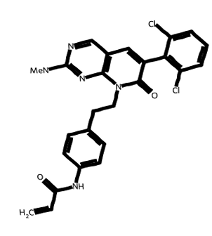 C=CC(=O)Nc1ccc(CCn2c(=O)c(-c3c(Cl)cccc3Cl)cc3cnc(NC)nc32)cc1